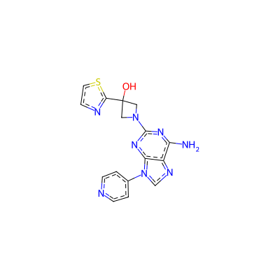 Nc1nc(N2CC(O)(c3nccs3)C2)nc2c1ncn2-c1ccncc1